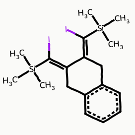 C[Si](C)(C)C(I)=C1Cc2ccccc2CC1=C(I)[Si](C)(C)C